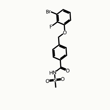 CS(=O)(=O)NC(=O)c1ccc(COc2cccc(Br)c2F)cc1